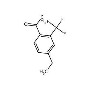 CCc1ccc(C(C)=O)c(C(F)(F)F)c1